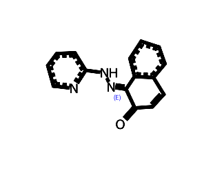 O=C1C=Cc2ccccc2/C1=N\Nc1ccccn1